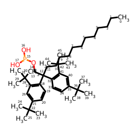 CCCCCCCCCCCCC(COP(O)O)(c1ccc(C(C)(C)C)cc1C(C)(C)C)c1ccc(C(C)(C)C)cc1C(C)(C)C